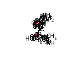 CCN1/C(=C/C=C/C=C/C2=[N+](CCCCCC(=O)NCC(N=[N+]=[N-])OC3C[C@H](Nc4ncnc(N)c4N)O[C@@H]3COP(=O)(O)OP(=O)(O)OP(=O)(O)O)c3ccc(S(=O)(=O)O)cc3C2(C)C)C(C)(C)c2cc(S(=O)(=O)O)ccc21